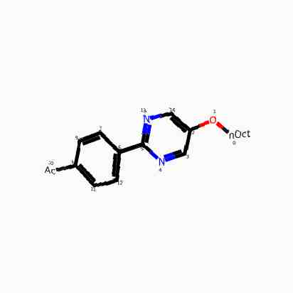 CCCCCCCCOc1cnc(-c2ccc(C(C)=O)cc2)nc1